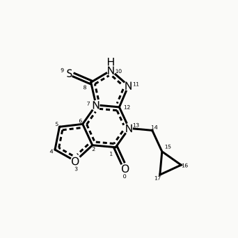 O=c1c2occc2n2c(=S)[nH]nc2n1CC1CC1